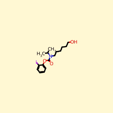 CC(C)N(CCCCCCO)C(=O)Oc1ccccc1I